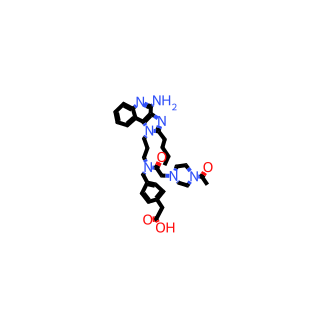 CCCCc1nc2c(N)nc3ccccc3c2n1CCCN(Cc1ccc(CC(=O)O)cc1)C(=O)CN1CCN(C(C)=O)CC1